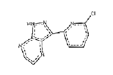 Clc1cccc(-c2n[nH]c3nccnc23)n1